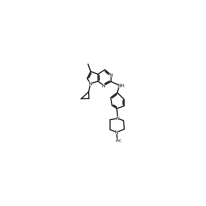 CC(=O)N1CCN(c2ccc(Nc3ncc4c(C)cn(C5CC5)c4n3)cc2)CC1